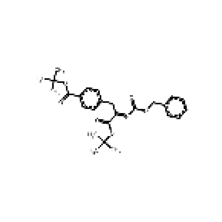 CC(C)(C)OC(=O)/C(Cc1ccc(C(=O)OC(C)(C)C)cc1)=N/C(=O)OCc1ccccc1